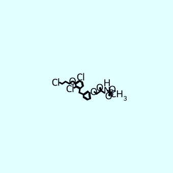 CS(=O)(=O)NCC(=O)COc1cccc(Cc2ccc(Cl)c(OCCCCl)c2Cl)c1